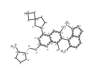 Cc1ccc2cnn(C)c2c1-c1c(Cl)cc2c(N3CCC4(CNC4)C3)nc(OC[C@@H]3CCCN3C)nc2c1F